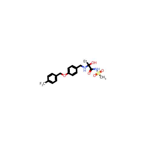 CCC(O)(NCc1ccc(OCc2ccc(C(F)(F)F)cc2)cc1)C(=O)NS(C)(=O)=O